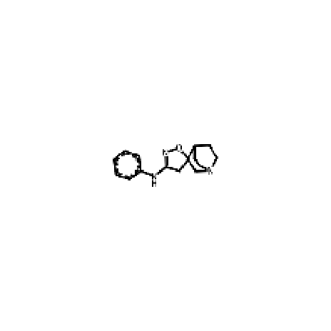 c1ccc(NC2=NOC3(C2)CN2CCC3CC2)cc1